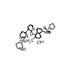 Cc1ccc2c(NS(=O)(=O)N3CCCC3)cccc2c1Oc1ncccc1-c1ccnc(N[C@H]2CCCNC2)n1.Cl